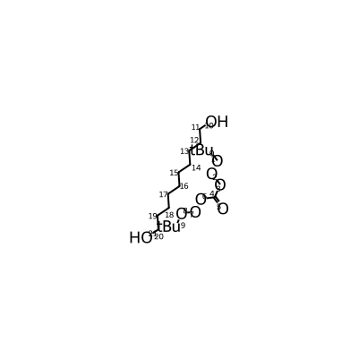 CC(C)(C)OOOC(=O)OOOC(C)(C)C.OCCCCCCCCCCO